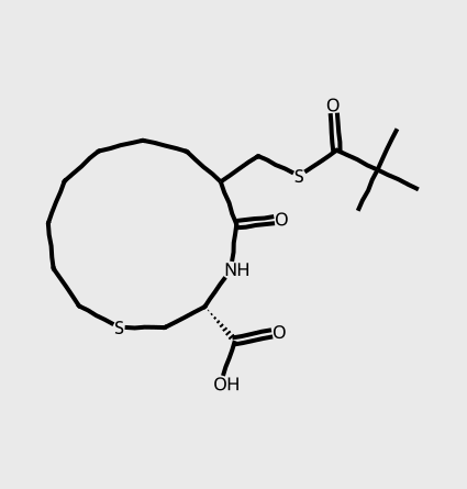 CC(C)(C)C(=O)SCC1CCCCCCCSC[C@@H](C(=O)O)NC1=O